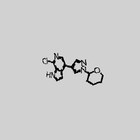 Clc1ncc(-c2cnn(C3CCCCO3)c2)c2cc[nH]c12